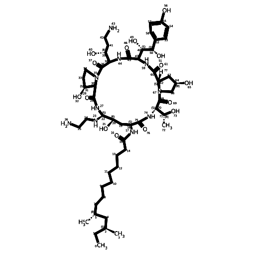 CC[C@H](C)C[C@H](C)CCCCCCCCC(=O)N[C@H]1C[C@@H](O)[C@@H](NCCN)NC(=O)C2[C@@H](O)CCN2C(=O)C([C@H](O)CCN)NC(=O)C([C@H](O)[C@@H](O)c2ccc(O)cc2)NC(=O)[C@@H]2C[C@@H](O)CN2C(=O)[C@H]([C@@H](C)O)NC1=O